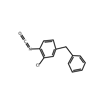 O=C=Nc1ccc(Cc2ccccc2)cc1Cl